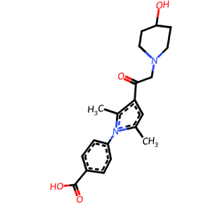 Cc1cc(C(=O)CN2CCC(O)CC2)c(C)n1-c1ccc(C(=O)O)cc1